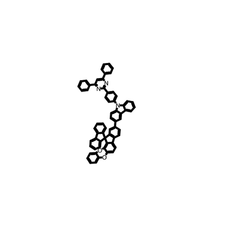 c1ccc(-c2cc(-c3ccccc3)nc(-c3ccc(-n4c5ccccc5c5cc(-c6ccc7c(c6)C6(c8ccccc8-c8ccccc86)c6c-7ccc7c6Oc6ccccc6O7)ccc54)cc3)n2)cc1